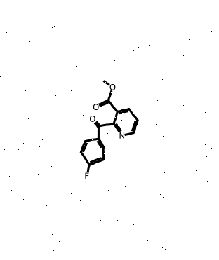 COC(=O)c1cccnc1C(=O)c1ccc(F)cc1